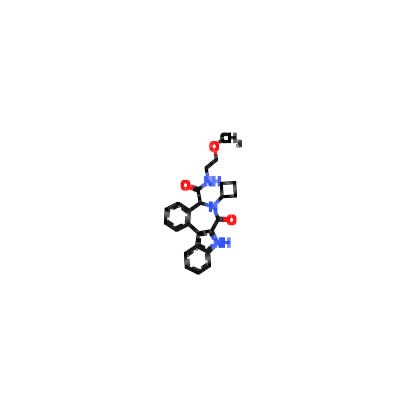 COCCNC(=O)C1c2ccccc2-c2c([nH]c3ccccc23)C(=O)N1C1CCC1